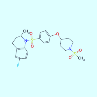 CC1CCc2cc(F)ccc2N1S(=O)(=O)c1ccc(OC2CCN(S(C)(=O)=O)CC2)cc1